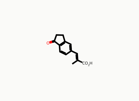 CC(=Cc1ccc2c(c1)CCC2=O)C(=O)O